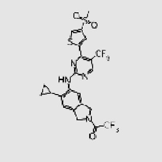 CS(=O)(=O)c1csc(-c2nc(Nc3cc4c(cc3C3CC3)CN(C(=O)C(F)(F)F)C4)ncc2C(F)(F)F)c1